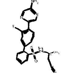 C[C@@H](CC#N)NS(=O)(=O)c1ccccc1-c1ccc(-c2cnc(N)cn2)c(F)c1